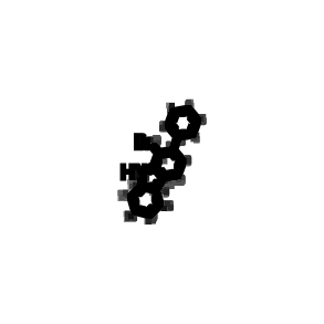 Brc1c(-c2ccccc2)ccc2c1[nH]c1ccccc12